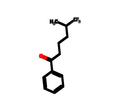 CC(CCCC(=O)c1ccccc1)C(F)(F)F